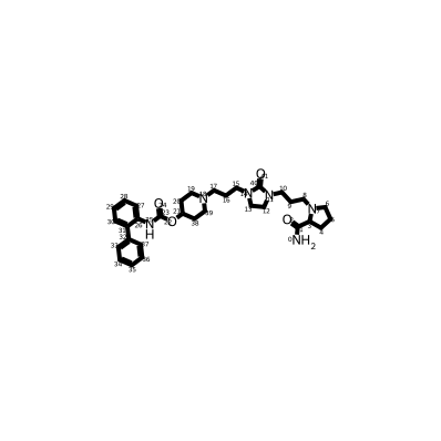 NC(=O)C1CCCN1CCCN1CCN(CCCN2CCC(OC(=O)Nc3ccccc3-c3ccccc3)CC2)C1=O